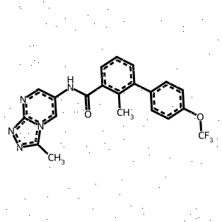 Cc1c(C(=O)Nc2cnc3nnc(C)n3c2)cccc1-c1ccc(OC(F)(F)F)cc1